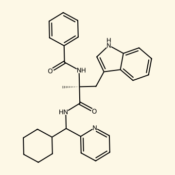 C[C@@](Cc1c[nH]c2ccccc12)(NC(=O)c1ccccc1)C(=O)NC(c1ccccn1)C1CCCCC1